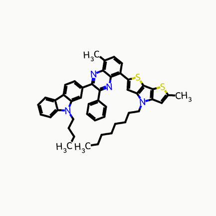 CCCCCCCCn1c2cc(C)sc2c2sc(-c3ccc(C)c4nc(-c5ccc6c7ccccc7n(CCCC)c6c5)c(-c5ccccc5)nc34)cc21